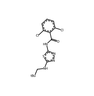 CC(C)(C)CNc1nnc(NC(=O)c2c(Cl)cccc2Cl)s1